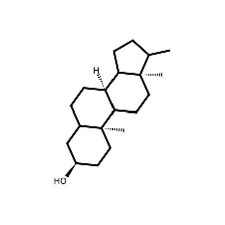 CC1CCC2[C@@H]3CCC4C[C@H](O)CC[C@]4(C)C3CC[C@]12C